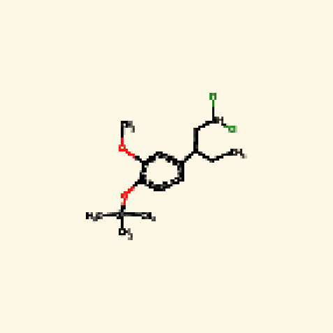 CCC(C[SiH](Cl)Cl)c1ccc(O[Si](C)(C)C)c(OC)c1